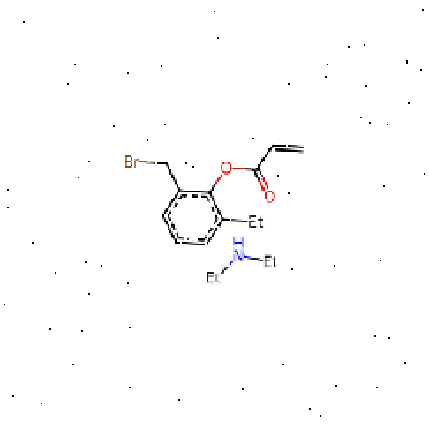 C=CC(=O)Oc1c(CC)cccc1CBr.CCNCC